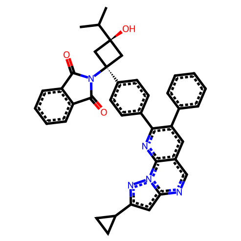 CC(C)[C@]1(O)C[C@@](c2ccc(-c3nc4c(cnc5cc(C6CC6)nn54)cc3-c3ccccc3)cc2)(N2C(=O)c3ccccc3C2=O)C1